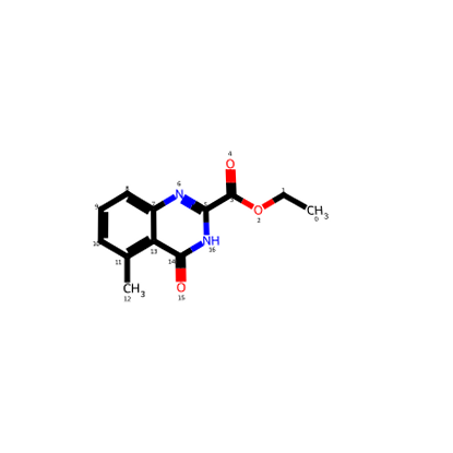 CCOC(=O)c1nc2cccc(C)c2c(=O)[nH]1